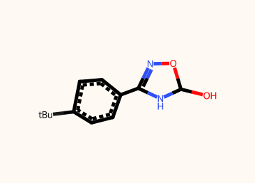 CC(C)(C)c1ccc(C2=NOC(O)N2)cc1